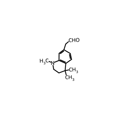 CN1CCC(C)(C)c2ccc(CC=O)cc21